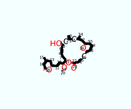 C=C1CC(O)C=CCC(C(C=CC2CC(C)=CCO2)OC)OC(=O)C=CCC2C=CCC(CC(C)C1)O2